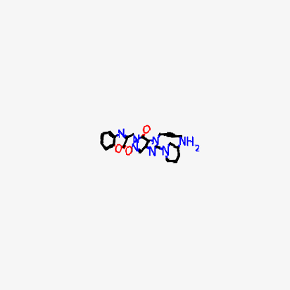 CC#CCn1c(N2CCCC(N)C2)nc2cnn(Cc3nc4ccccc4oc3=O)c(=O)c21